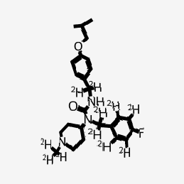 [2H]c1c([2H])c(C([2H])([2H])N(C(=O)NC([2H])([2H])c2ccc(OCC(C)C)cc2)C2CCN(C([2H])([2H])[2H])CC2)c([2H])c([2H])c1F